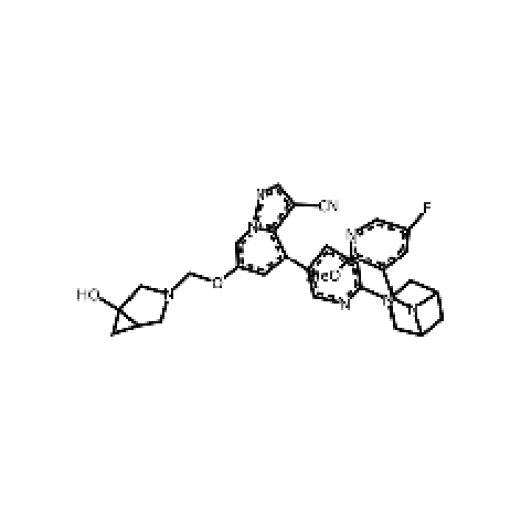 COc1ncc(F)cc1CN1C2CC1CN(c1ccc(-c3cc(OCN4CC5CC5(O)C4)cn4ncc(C#N)c34)cn1)C2